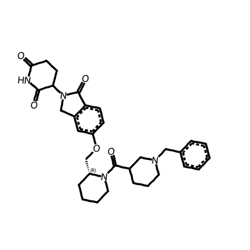 O=C1CCC(N2Cc3cc(OC[C@H]4CCCCN4C(=O)C4CCCN(Cc5ccccc5)C4)ccc3C2=O)C(=O)N1